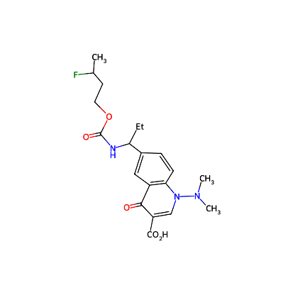 CCC(NC(=O)OCCC(C)F)c1ccc2c(c1)c(=O)c(C(=O)O)cn2N(C)C